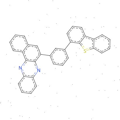 c1cc(-c2cc3ccccc3c3nc4ccccc4nc23)cc(-c2cccc3c2sc2ccccc23)c1